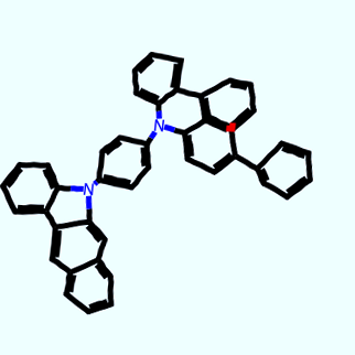 c1ccc(-c2ccc(N(c3ccc(-n4c5ccccc5c5cc6ccccc6cc54)cc3)c3ccccc3-c3ccccc3)cc2)cc1